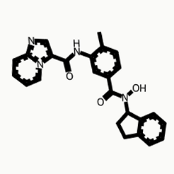 Cc1ccc(C(=O)N(O)C2CCc3ccccc32)cc1NC(=O)c1cnc2ccccn12